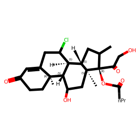 CCCC(=O)O[C@]1(C(=O)CO)C(C)C[C@H]2[C@@H]3C(Cl)CC4=CC(=O)CC[C@]4(C)[C@H]3C(O)C[C@@]21C